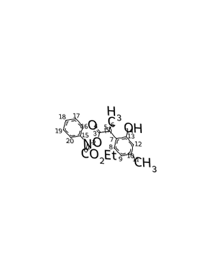 CCOC(=O)N(OC(=O)[C@@H](C)c1ccc(C)cc1O)c1ccccc1